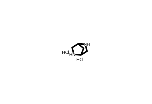 C1NC2CNC1C2.Cl.Cl